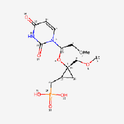 CCOC[C@@]1(O[C@H](COC)n2ccc(=O)[nH]c2=O)CC1CP(=O)(O)O